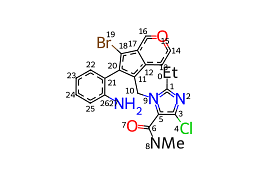 CCc1nc(Cl)c(C(=O)NC)n1Cc1c2ccocc-2c(Br)c1-c1ccccc1N